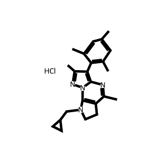 Cc1cc(C)c(-c2c(C)nn3c4c(c(C)nc23)CCN4CC2CC2)c(C)c1.Cl